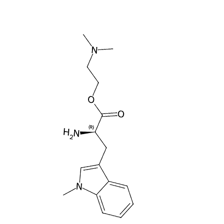 CN(C)CCOC(=O)[C@H](N)Cc1cn(C)c2ccccc12